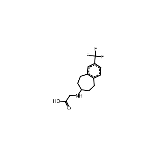 O=C(O)CNC1CCc2ccc(C(F)(F)F)cc2CC1